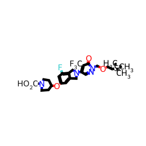 C[Si](C)(C)CCOCn1ncc(N2Cc3cc(OC4CCN(C(=O)O)CC4)cc(F)c3C2)c(C(F)(F)F)c1=O